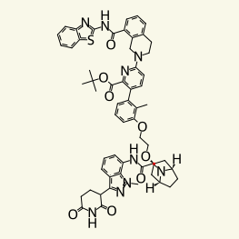 Cc1c(OCCO[C@@H]2C[C@H]3CC[C@@H](C2)N3CC(=O)Nc2cccc3c(C4CCC(=O)NC4=O)nn(C)c23)cccc1-c1ccc(N2CCc3cccc(C(=O)Nc4nc5ccccc5s4)c3C2)nc1C(=O)OC(C)(C)C